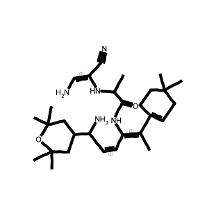 C/C(C1=CCC(C)(C)CC1)=C(\C=C/C(N)C1CC(C)(C)OC(C)(C)C1)NC(=O)C(C)N/C(C#N)=C\N